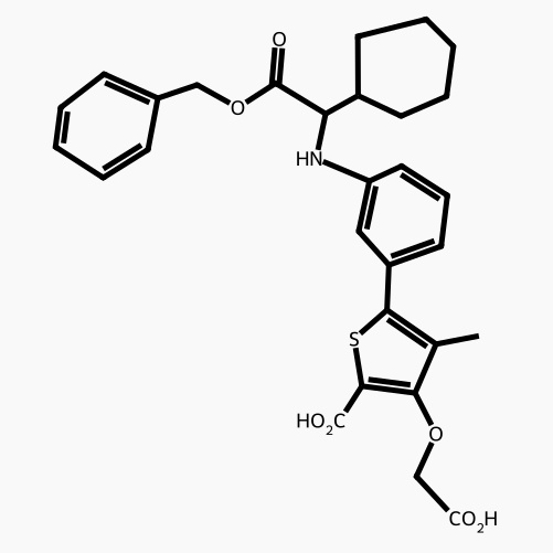 Cc1c(-c2cccc(NC(C(=O)OCc3ccccc3)C3CCCCC3)c2)sc(C(=O)O)c1OCC(=O)O